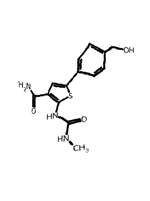 CNC(=O)Nc1sc(-c2ccc(CO)cc2)cc1C(N)=O